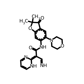 CC1(C)Oc2cc(NC(=O)/C(C=N)=C3\N=CC=CN3)c(N3CCOCC3)cc2C1=O